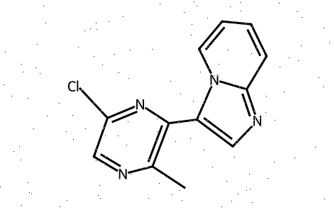 Cc1ncc(Cl)nc1-c1cnc2ccccn12